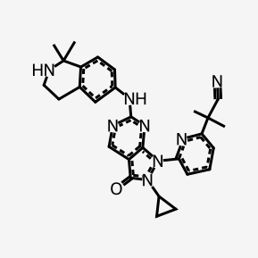 CC(C)(C#N)c1cccc(-n2c3nc(Nc4ccc5c(c4)CCNC5(C)C)ncc3c(=O)n2C2CC2)n1